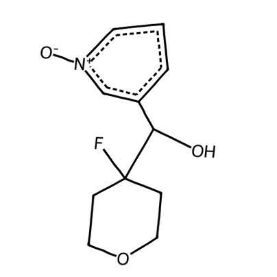 [O-][n+]1cccc(C(O)C2(F)CCOCC2)c1